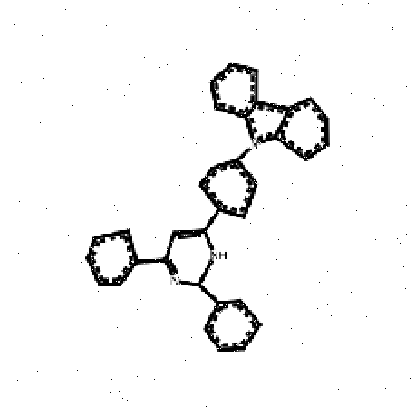 C1=C(c2ccc(-n3c4ccccc4c4ccccc43)cc2)NC(c2ccccc2)N=C1c1ccccc1